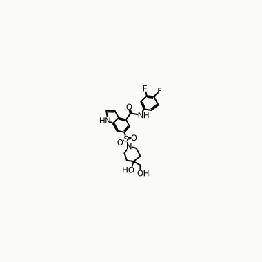 O=C(Nc1ccc(F)c(F)c1)c1cc(S(=O)(=O)N2CCC(O)(CO)CC2)cc2[nH]ccc12